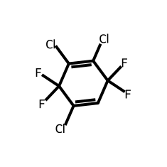 FC1(F)C=C(Cl)C(F)(F)C(Cl)=C1Cl